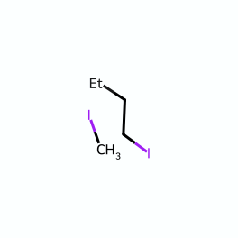 CCCCI.CI